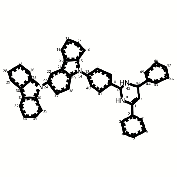 C1=C(c2ccccc2)NC(c2ccc(-n3c4ccccc4c4cc(-n5c6ccccc6c6ccccc65)ccc43)cc2)NC1c1ccccc1